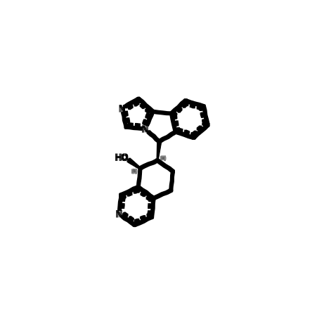 O[C@@H]1c2cnccc2CC[C@@H]1C1c2ccccc2-c2cncn21